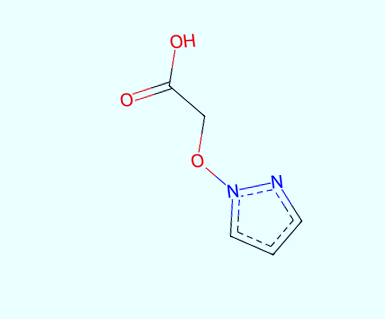 O=C(O)COn1cccn1